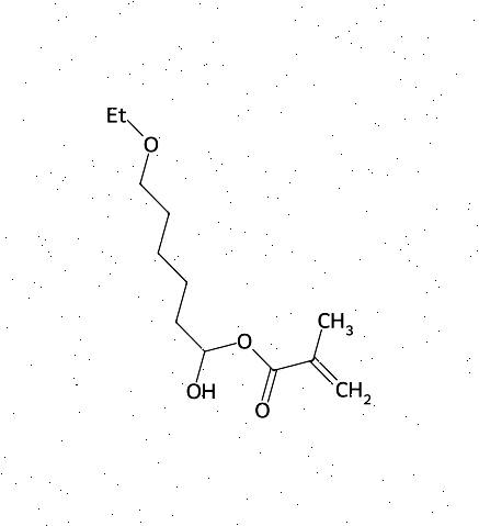 C=C(C)C(=O)OC(O)CCCCCOCC